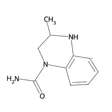 CC1CN(C(N)=O)c2ccc[c]c2N1